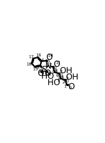 O=C[C@H](O)[C@@H](O)[C@H](O)[C@H](O)C(=O)N1C(=O)c2ccccc2S1(=O)=O